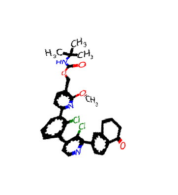 COc1nc(-c2cccc(-c3ccnc(-c4ccc5c(c4)CCCC5=O)c3Cl)c2Cl)ccc1COC(=O)NC(C)(C)C